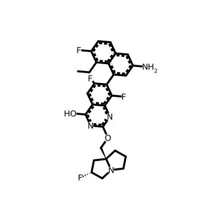 CCc1c(F)ccc2cc(N)cc(-c3c(F)cc4c(O)nc(OC[C@@]56CCCN5C[C@H](F)C6)nc4c3F)c12